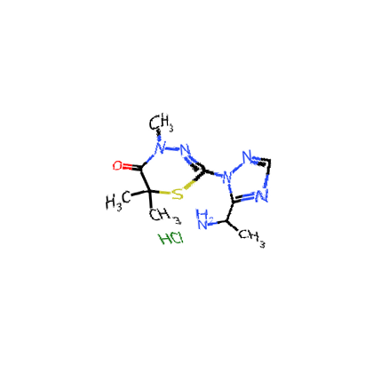 CC(N)c1ncnn1C1=NN(C)C(=O)C(C)(C)S1.Cl